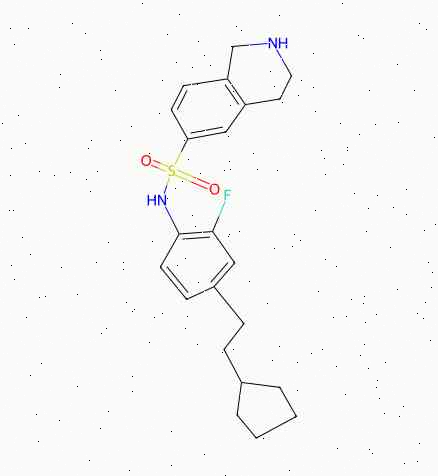 O=S(=O)(Nc1ccc(CCC2CCCC2)cc1F)c1ccc2c(c1)CCNC2